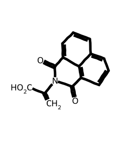 C=C(C(=O)O)N1C(=O)c2cccc3cccc(c23)C1=O